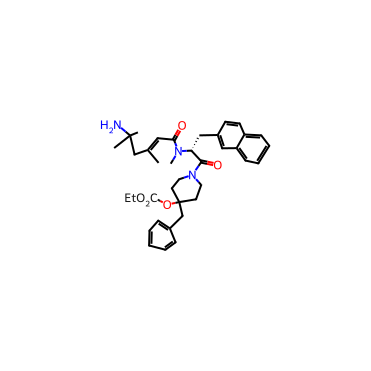 CCOC(=O)OC1(Cc2ccccc2)CCN(C(=O)[C@@H](Cc2ccc3ccccc3c2)N(C)C(=O)/C=C(\C)CC(C)(C)N)CC1